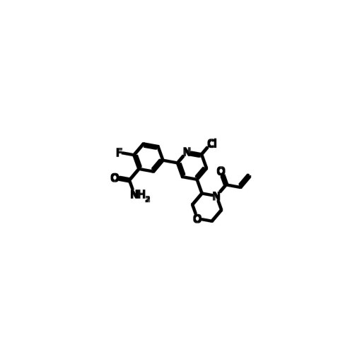 C=CC(=O)N1CCOCC1c1cc(Cl)nc(-c2ccc(F)c(C(N)=O)c2)c1